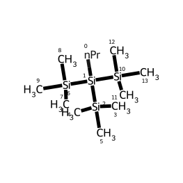 CCC[Si]([Si](C)(C)C)([Si](C)(C)C)[Si](C)(C)C